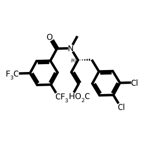 CN(C(=O)c1cc(C(F)(F)F)cc(C(F)(F)F)c1)[C@@H](C=CC(=O)O)Cc1ccc(Cl)c(Cl)c1